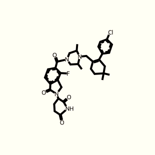 CC1CN(C(=O)c2ccc3c(c2F)CN(C2CCC(=O)NC2=O)C3=O)CC(C)N1CC1=C(c2ccc(Cl)cc2)CC(C)(C)CC1